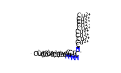 [C-]#N.[C-]#N.[C-]#N.[C-]#N.[C-]#N.[Cu+2].[Cu+2].[Cu+2].[Cu+2].[Cu+2].[Cu+2].[Cu+2].[Cu+2].[Cu+2].[Cu+2].[Cu+2].[Cu+2].[Cu+2].[Cu+2].[Cu+2].[Cu+2].[Cu+2].[Cu+2].[Cu+2]